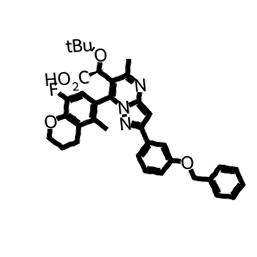 Cc1nc2cc(-c3cccc(OCc4ccccc4)c3)nn2c(-c2cc(F)c3c(c2C)CCCO3)c1[C@H](OC(C)(C)C)C(=O)O